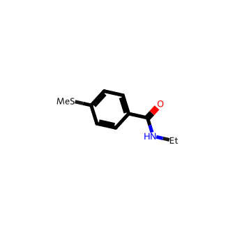 CCNC(=O)c1ccc(SC)cc1